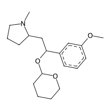 COc1cccc(C(CC2CCCN2C)OC2CCCCO2)c1